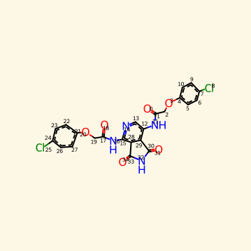 O=C(COc1ccc(Cl)cc1)Nc1cnc(NC(=O)COc2ccc(Cl)cc2)c2c1C(=O)NC2=O